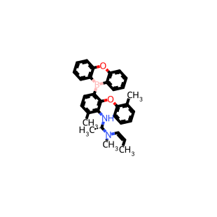 C/C=C\N(C)[C@H](C)Nc1c(C)ccc(B2c3ccccc3Oc3ccccc32)c1Oc1ccccc1C